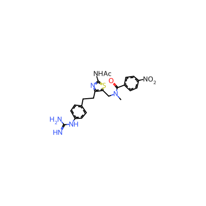 CC(=O)Nc1nc(CCc2ccc(NC(=N)N)cc2)c(CN(C)C(=O)c2ccc([N+](=O)[O-])cc2)s1